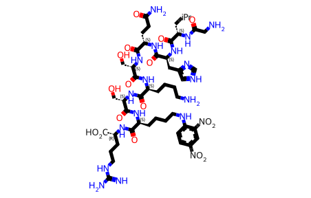 CC(C)C[C@H](NC(=O)CN)C(=O)N[C@@H](Cc1c[nH]cn1)C(=O)N[C@@H](CCC(N)=O)C(=O)N[C@@H](CO)C(=O)N[C@@H](CCCCN)C(=O)N[C@@H](CO)C(=O)N[C@@H](CCCCNc1ccc([N+](=O)[O-])cc1[N+](=O)[O-])C(=O)N[C@H](CCCNC(=N)N)C(=O)O